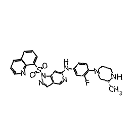 C[C@@H]1CN(c2ccc(Nc3cc4c(cn3)cnn4S(=O)(=O)c3cccc4cccnc34)cc2F)CCN1